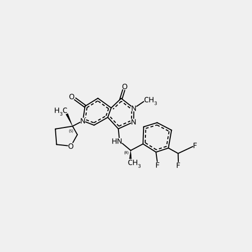 C[C@@H](Nc1nn(C)c(=O)c2cc(=O)n([C@@]3(C)CCOC3)cc12)c1cccc(C(F)F)c1F